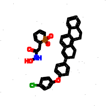 Clc1ccc(Oc2ccc(C3=Cc4ccc5c(c4CC3)CCc3ccccc3-5)cc2)cc1.O=C(CC1C=CC=CS1(=O)=O)NO